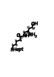 CCCCCCCCCCCC(=O)NCC(N)CCO